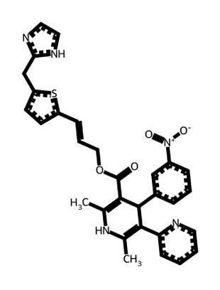 CC1=C(C(=O)OCC=Cc2ccc(Cc3ncc[nH]3)s2)C(c2cccc([N+](=O)[O-])c2)C(c2ccccn2)=C(C)N1